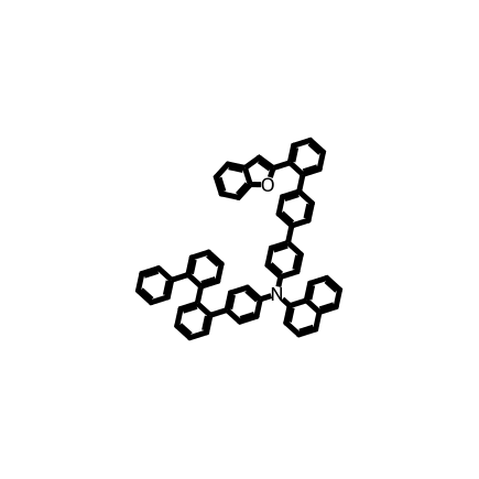 c1ccc(-c2ccccc2-c2ccccc2-c2ccc(N(c3ccc(-c4ccc(-c5ccccc5-c5cc6ccccc6o5)cc4)cc3)c3cccc4ccccc34)cc2)cc1